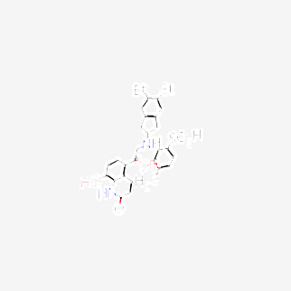 CCc1cc2c(cc1CC)CC(NC[C@H](O)c1ccc(O)c3[nH]c(=O)ccc13)C2.Cc1ccc(S(=O)(=O)O)cc1